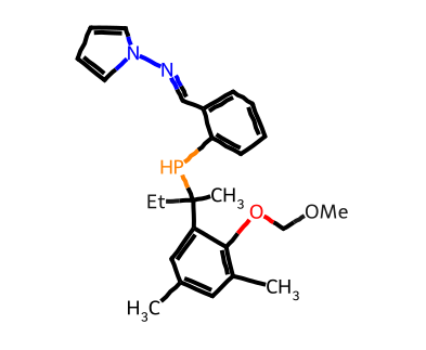 CCC(C)(Pc1ccccc1/C=N/n1cccc1)c1cc(C)cc(C)c1OCOC